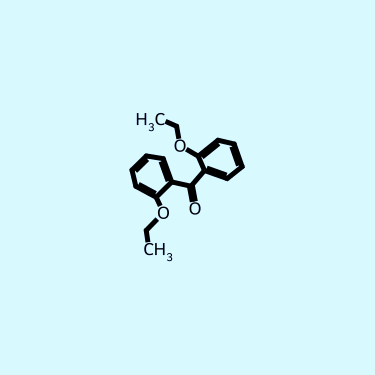 CCOc1ccccc1C(=O)c1ccccc1OCC